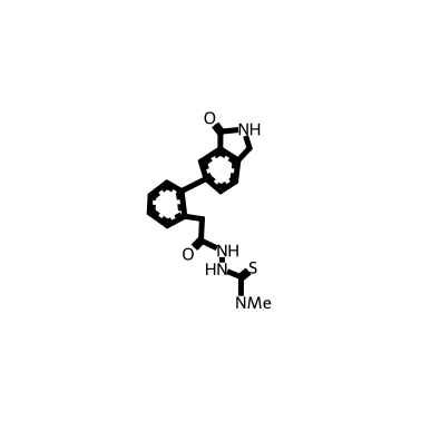 CNC(=S)NNC(=O)Cc1ccccc1-c1ccc2c(c1)C(=O)NC2